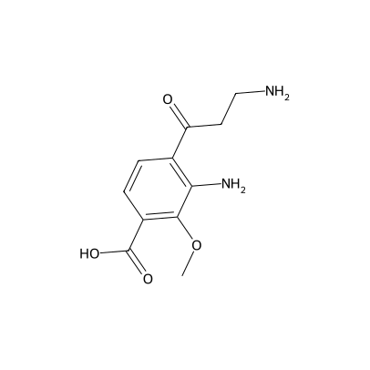 COc1c(C(=O)O)ccc(C(=O)CCN)c1N